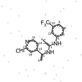 C=C(NC(=S)Nc1cccc(C(F)(F)F)c1)c1ccnc(Cl)c1